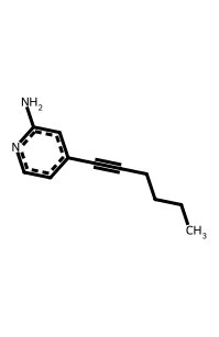 CCCCC#Cc1ccnc(N)c1